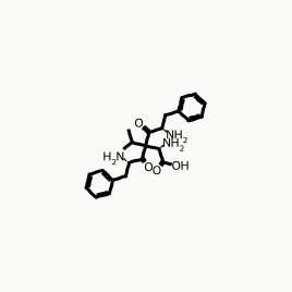 CC(C)C(C(=O)[C@@H](N)Cc1ccccc1)(C(=O)[C@@H](N)Cc1ccccc1)[C@H](N)C(=O)O